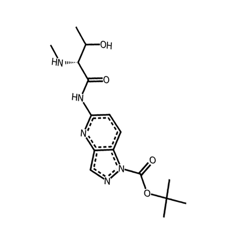 CN[C@@H](C(=O)Nc1ccc2c(cnn2C(=O)OC(C)(C)C)n1)C(C)O